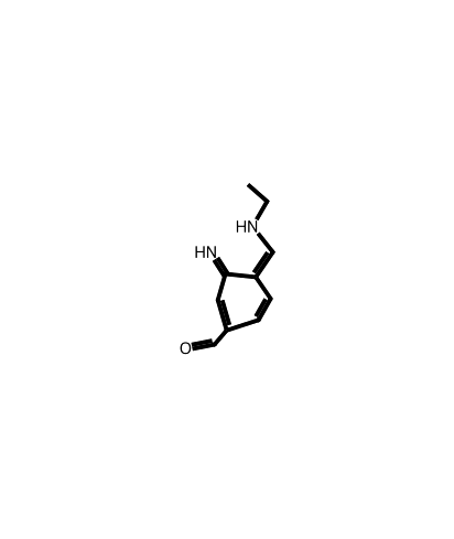 CCN/C=C1/C=CC(C=O)=CC1=N